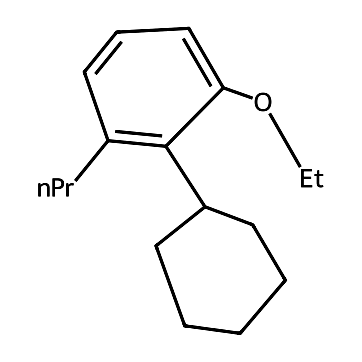 CCCc1cccc(OCC)c1C1CCCCC1